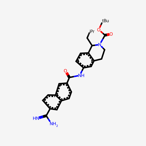 CC(C)CC1c2ccc(NC(=O)c3ccc4cc(C(=N)N)ccc4c3)cc2CCN1C(=O)OC(C)(C)C